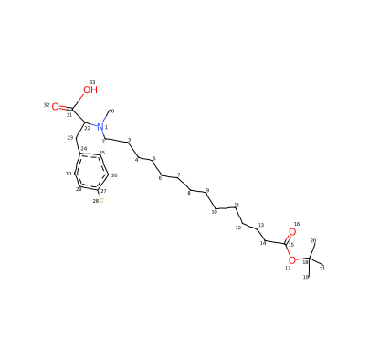 CN(CCCCCCCCCCCCCC(=O)OC(C)(C)C)C(Cc1ccc(F)cc1)C(=O)O